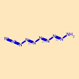 [N-]=[N+]=N/N=N/N=N/N=N/N